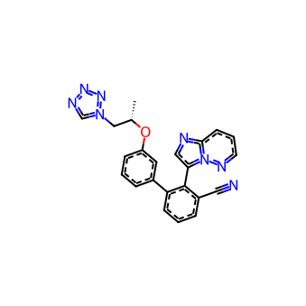 C[C@@H](Cn1cnnn1)Oc1cccc(-c2cccc(C#N)c2-c2cnc3cccnn23)c1